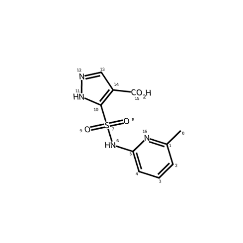 Cc1cccc(NS(=O)(=O)c2[nH]ncc2C(=O)O)n1